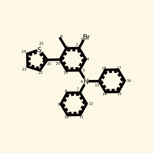 Cc1c(Br)cc(N(c2ccccc2)c2ccccc2)cc1-c1cccs1